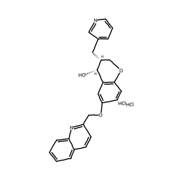 Cl.Cl.O[C@H]1c2cc(OCc3ccc4ccccc4n3)ccc2OC[C@H]1Cc1cccnc1